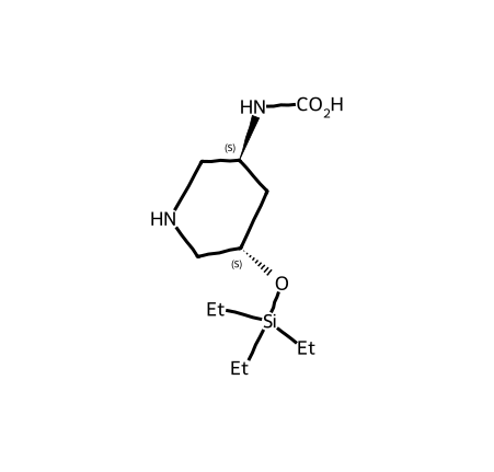 CC[Si](CC)(CC)O[C@@H]1CNC[C@@H](NC(=O)O)C1